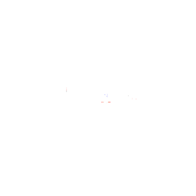 CCCC(O)(CCC)CCCN(CCCCCCC(=O)O)S(C)(=O)=O